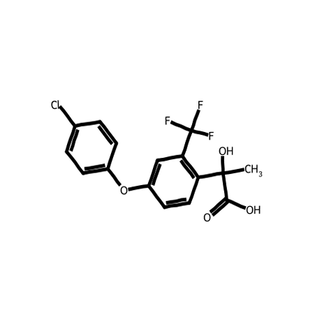 CC(O)(C(=O)O)c1ccc(Oc2ccc(Cl)cc2)cc1C(F)(F)F